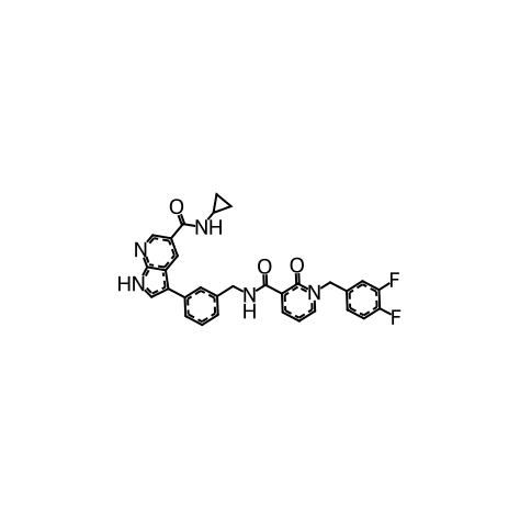 O=C(NC1CC1)c1cnc2[nH]cc(-c3cccc(CNC(=O)c4cccn(Cc5ccc(F)c(F)c5)c4=O)c3)c2c1